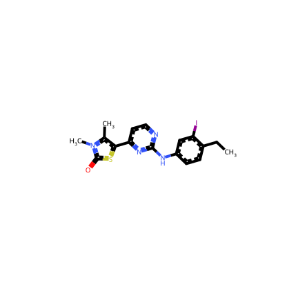 CCc1ccc(Nc2nccc(-c3sc(=O)n(C)c3C)n2)cc1I